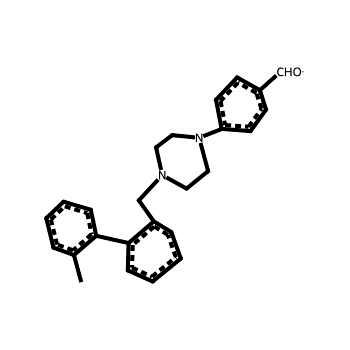 Cc1ccccc1-c1ccccc1CN1CCN(c2ccc([C]=O)cc2)CC1